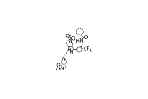 CS(=O)(=O)N1CCc2c(c(-c3ccc(C(F)(F)F)c(CNC(=O)C4CCCCCC4)c3)nn2CCCN2CCC3(CCNC3=O)CC2)C1